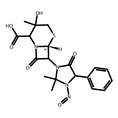 CC1(O)CS[C@@H]2C(N3C(=O)C(c4ccccc4)N(N=O)C3(C)C)C(=O)N2C1C(=O)O